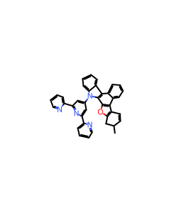 CC1C=Cc2c(oc3c2c2ccccc2c2c4ccccc4n(-c4cc(-c5ccccn5)nc(-c5ccccn5)c4)c32)C1